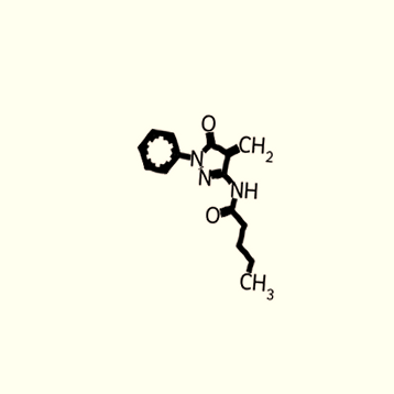 C=C1C(=O)N(c2ccccc2)N=C1NC(=O)CCCC